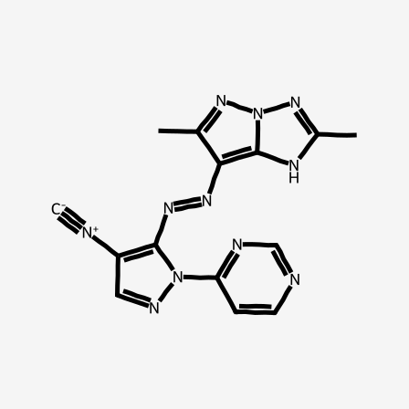 [C-]#[N+]c1cnn(-c2ccncn2)c1/N=N/c1c(C)nn2nc(C)[nH]c12